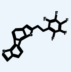 Fc1c(F)c(F)c(CCc2cc3ccc4c(c3s2)-c2ccc3ccsc3c2-4)c(F)c1F